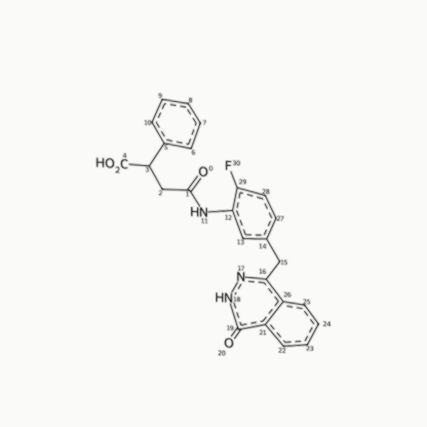 O=C(CC(C(=O)O)c1ccccc1)Nc1cc(Cc2n[nH]c(=O)c3ccccc23)ccc1F